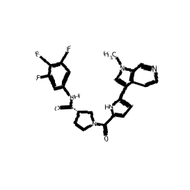 Cn1cc(-c2ccc(C(=O)N3CC[C@H](C(=O)Nc4cc(F)c(F)c(F)c4)C3)[nH]2)c2ccncc21